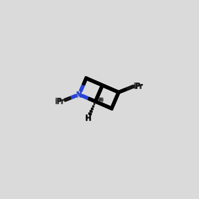 CC(C)C1C[C@@H]2C1CN2C(C)C